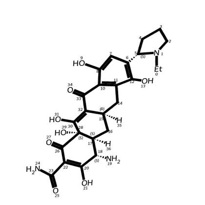 CCN1CCC[C@H]1c1cc(O)c2c(c1O)C[C@H]1C[C@H]3[C@H](N)C(O)=C(C(N)=O)C(=O)[C@@]3(O)C(O)=C1C2=O